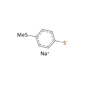 CSc1ccc([S-])cc1.[Na+]